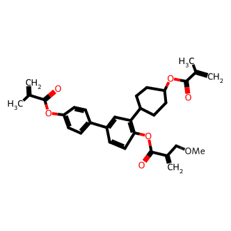 C=C(C)C(=O)Oc1ccc(-c2ccc(OC(=O)C(=C)COC)c(C3CCC(OC(=O)C(=C)C)CC3)c2)cc1